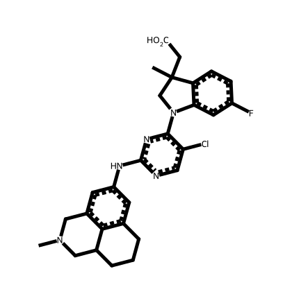 CN1Cc2cc(Nc3ncc(Cl)c(N4CC(C)(CC(=O)O)c5ccc(F)cc54)n3)cc3c2C(CCC3)C1